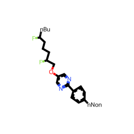 CCCCCCCCCc1ccc(-c2ncc(OCC(F)CCCC(F)CCCC)cn2)cc1